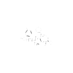 COc1cc(C)ccc1Nc1ncc2c(n1)N(C1CCCC1)CCC(=O)N2C